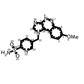 COc1ccc2c(c1)nnc1ncn(Cc3ccc(S(N)(=O)=O)nc3)c12